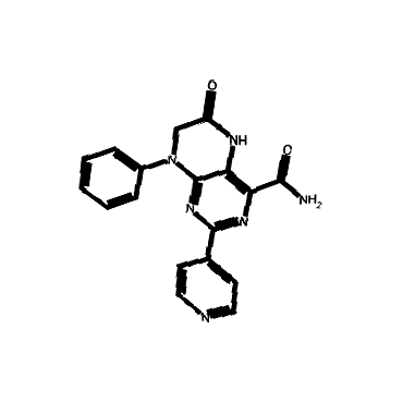 NC(=O)c1nc(-c2ccncc2)nc2c1NC(=O)CN2c1ccccc1